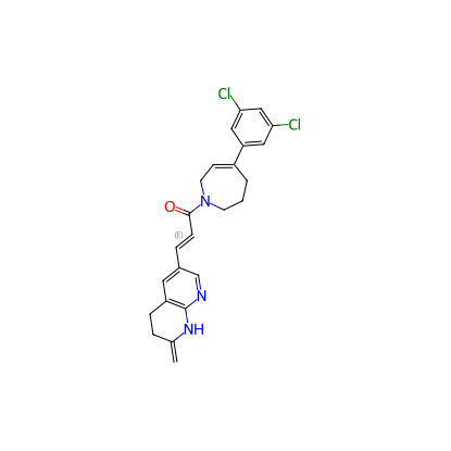 C=C1CCc2cc(/C=C/C(=O)N3CC=C(c4cc(Cl)cc(Cl)c4)CCC3)cnc2N1